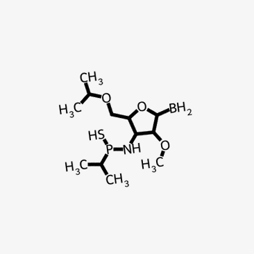 BC1OC(COC(C)C)C(NP(S)C(C)C)C1OC